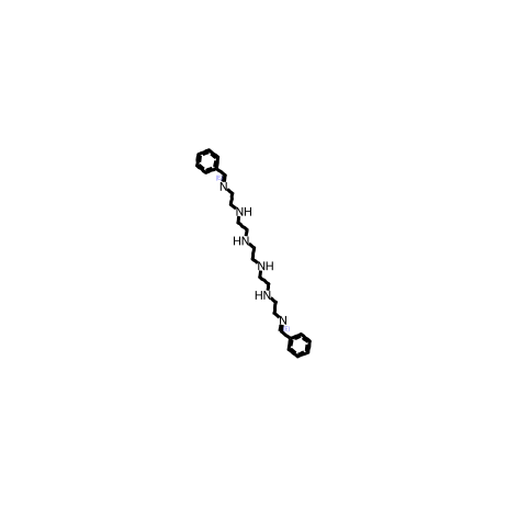 C(=N\CCNCCNCCNCCNCC/N=C/c1ccccc1)/c1ccccc1